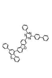 c1ccc(-c2ccc(-c3nc(-c4ccccc4)nc(-c4ccc5c(c4)oc4ccc(-c6cc(-c7ccccc7)cc7sc8ccccc8c67)cc45)n3)cc2)cc1